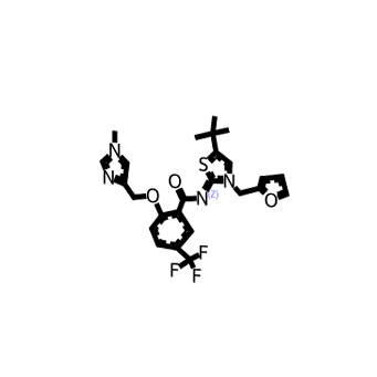 Cn1cnc(COc2ccc(C(F)(F)F)cc2C(=O)/N=c2\sc(C(C)(C)C)cn2Cc2ccco2)c1